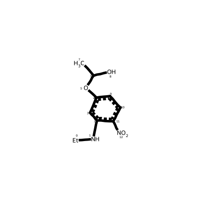 CCNc1cc(OC(C)O)ccc1[N+](=O)[O-]